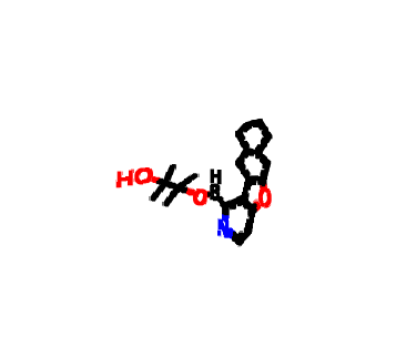 CC(C)(O)C(C)(C)OBc1nccc2oc3cc4ccccc4cc3c12